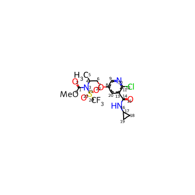 COC(=O)N(C(C)COc1cnc(Cl)c(C(=O)NC2CC2)c1)S(=O)(=O)C(F)(F)F